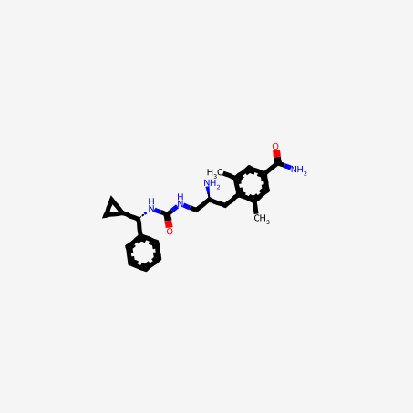 Cc1cc(C(N)=O)cc(C)c1C[C@H](N)CNC(=O)N[C@H](c1ccccc1)C1CC1